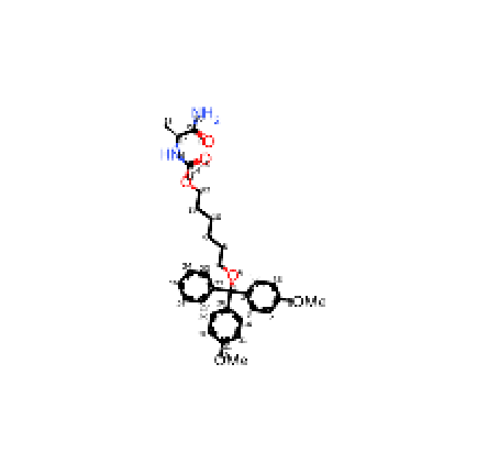 COc1ccc(C(OCCCCCCOC(=O)N[C@@H](C)C(N)=O)(c2ccccc2)c2ccc(OC)cc2)cc1